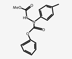 COC(=O)NN(C(=O)Oc1ccccc1)c1ccc(C)cc1